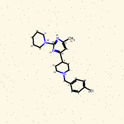 CCc1ccc(CN2CCC(c3cc(C)nc(N4CCCCC4)n3)CC2)cc1